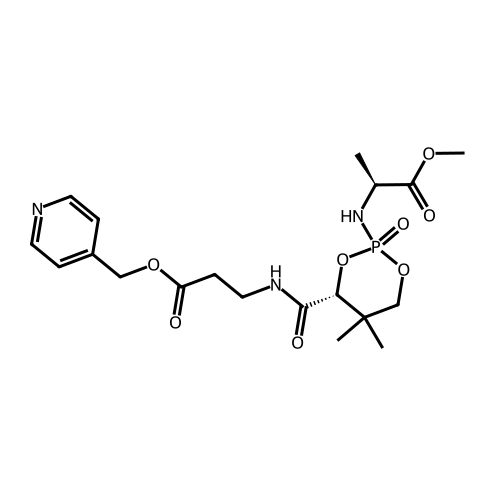 COC(=O)[C@H](C)NP1(=O)OCC(C)(C)[C@H](C(=O)NCCC(=O)OCc2ccncc2)O1